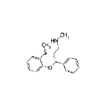 CNCC[C@@H](Oc1ccccc1SC)c1ccccc1